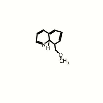 COCC1C=CC=C2C=CC=N[C@H]21